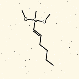 CCCCC=C[Si](C)(OC)OC